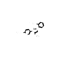 COc1ccc(-n2n[n+](-c3ccccc3NC(C)=O)cc2O)cn1.[OH-]